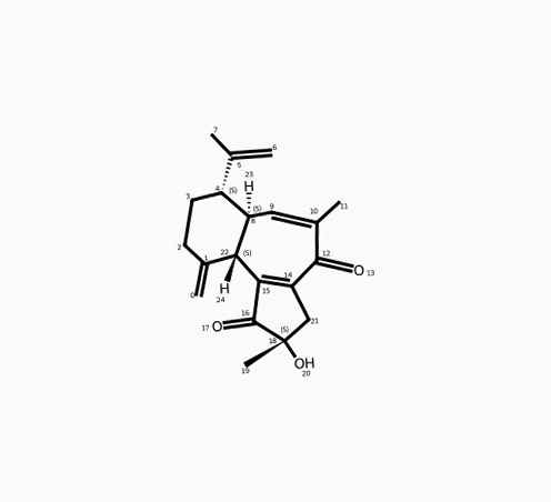 C=C1CC[C@H](C(=C)C)[C@H]2C=C(C)C(=O)C3=C(C(=O)[C@@](C)(O)C3)[C@H]12